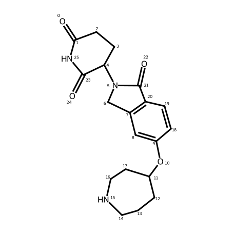 O=C1CCC(N2Cc3cc(OC4CCCNCC4)ccc3C2=O)C(=O)N1